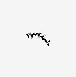 CC(C)NC(=O)/C=C/CC(C)NC(=O)/C=C/CN(C)C